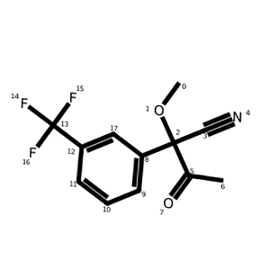 COC(C#N)(C(C)=O)c1cccc(C(F)(F)F)c1